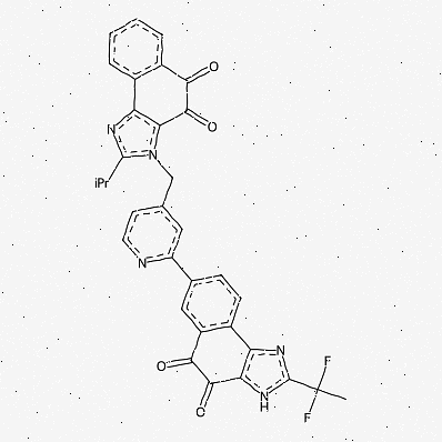 CC(C)c1nc2c(n1Cc1ccnc(-c3ccc4c(c3)C(=O)C(=O)c3[nH]c(C(C)(F)F)nc3-4)c1)C(=O)C(=O)c1ccccc1-2